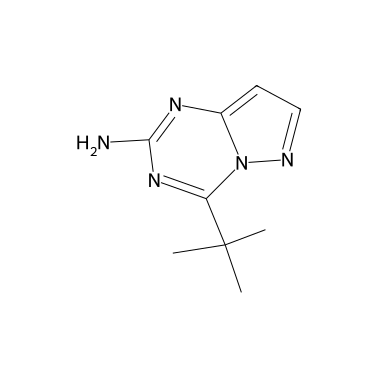 CC(C)(C)c1nc(N)nc2ccnn12